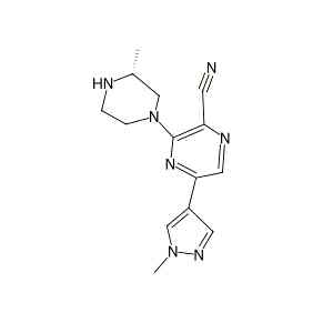 C[C@@H]1CN(c2nc(-c3cnn(C)c3)cnc2C#N)CCN1